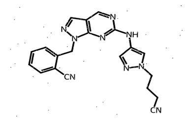 N#CCCCn1cc(Nc2ncc3cnn(Cc4ccccc4C#N)c3n2)cn1